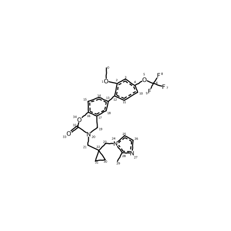 COc1cc(OC(F)(F)F)ccc1-c1ccc2c(c1)CN(CC1(Cn3ccnc3C)CC1)C(=O)O2